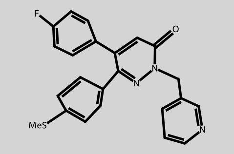 CSc1ccc(-c2nn(Cc3cccnc3)c(=O)cc2-c2ccc(F)cc2)cc1